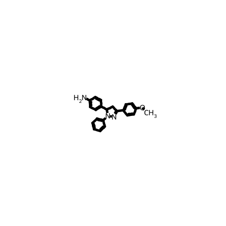 COc1ccc(C2=NN(c3ccccc3)C(c3ccc(N)cc3)C2)cc1